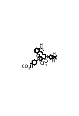 CC1(C(=O)O)CCC(n2ncc(C(=O)N(CCc3n[nH]c4cccc(Cl)c34)C3C[C@@H]4[C@H](C3)C4(C)C)c2C(F)(F)F)CC1